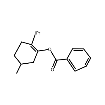 CC1CCC(C(C)C)=C(OC(=O)c2ccccc2)C1